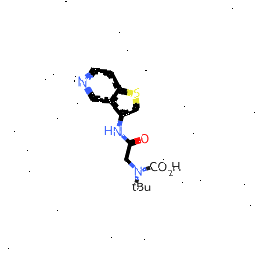 CC(C)(C)N(CC(=O)Nc1csc2ccncc12)C(=O)O